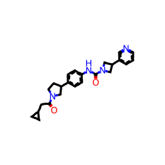 O=C(CC1CC1)N1CCC(c2ccc(NC(=O)N3CC(c4cccnc4)C3)cc2)C1